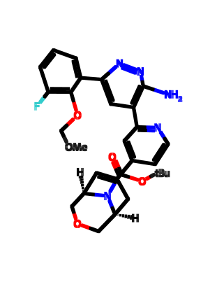 COCOc1c(F)cccc1-c1cc(-c2cc(C3=C[C@@H]4COC[C@H](C3)N4C(=O)OC(C)(C)C)ccn2)c(N)nn1